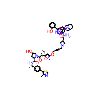 Cc1ncsc1-c1ccc([C@H](C)NC(=O)[C@@H]2C[C@@H](O)CN2C(=O)[C@@H](c2cc(OCC#CCN3CC(COc4cc(N5C6CCC5CN(c5cc(-c7ccccc7O)nnc5N)C6)ccn4)C3)no2)C(C)C)cc1